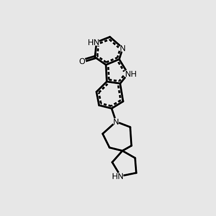 O=c1[nH]cnc2[nH]c3cc(N4CCC5(CCNC5)CC4)ccc3c12